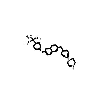 CC(C)(C)C1CCC(Oc2ccc3cc(Cc4ccc(N5CCNCC5)cc4)ccc3c2)CC1